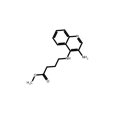 COC(=O)CCCNc1c(N)cnc2ccccc12